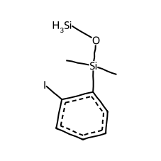 C[Si](C)(O[SiH3])c1ccccc1I